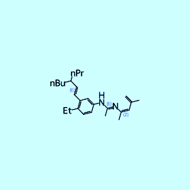 C=C(C)/C=C(C)\N=C(/C)Nc1ccc(CC)c(/C=C/C(CCC)CCCC)c1